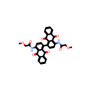 COCC(=O)Nc1ccc(-c2ccc(NC(=O)COC)c3c2C(=O)c2ccccc2C3=O)c2c1C(=O)c1ccccc1C2=O